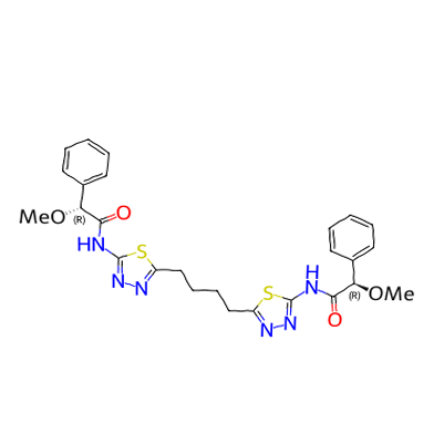 CO[C@@H](C(=O)Nc1nnc(CCCCc2nnc(NC(=O)[C@H](OC)c3ccccc3)s2)s1)c1ccccc1